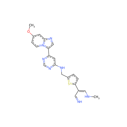 CN/C=C(\C=N)c1ccc(CNc2cc(-c3cnc4cc(OC)ccn34)ncn2)s1